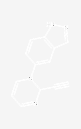 C#CC1N=CC=CN1c1ccc2[nH]ncc2c1